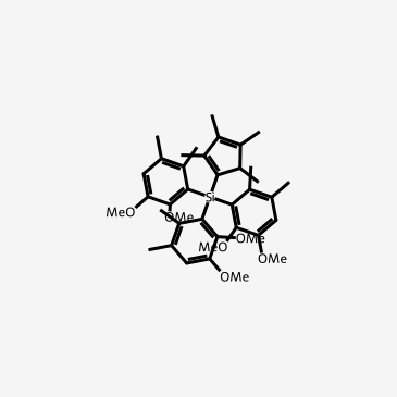 COc1cc(C)c(C)c([Si](C2=C(C)C(C)=C(C)C2C)(c2c(C)c(C)cc(OC)c2OC)c2c(C)c(C)cc(OC)c2OC)c1OC